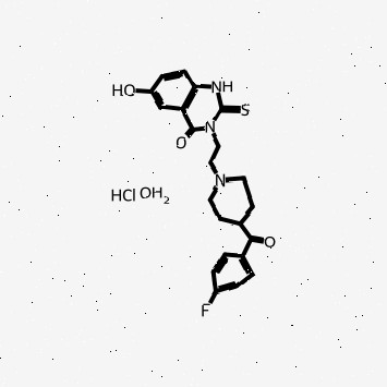 Cl.O.O=C(c1ccc(F)cc1)C1CCN(CCn2c(=S)[nH]c3ccc(O)cc3c2=O)CC1